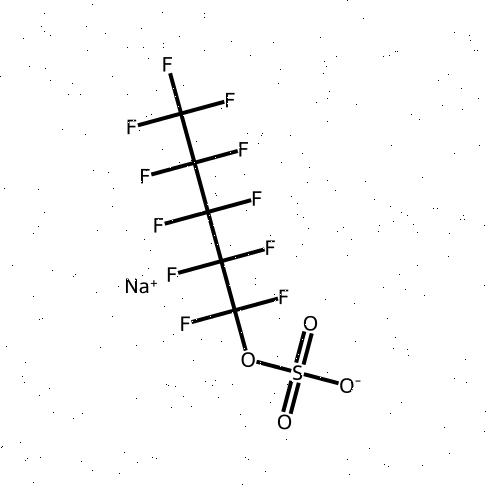 O=S(=O)([O-])OC(F)(F)C(F)(F)C(F)(F)C(F)(F)C(F)(F)F.[Na+]